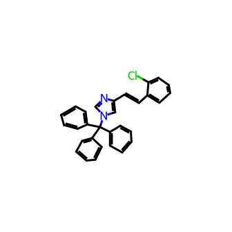 Clc1ccccc1C=Cc1cn(C(c2ccccc2)(c2ccccc2)c2ccccc2)cn1